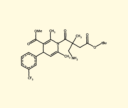 COC(=O)C1=C(C)N(C(=O)C(C)(CN)CC(=O)OC(C)(C)C)C(C)=CC1c1cccc(C(F)(F)F)c1